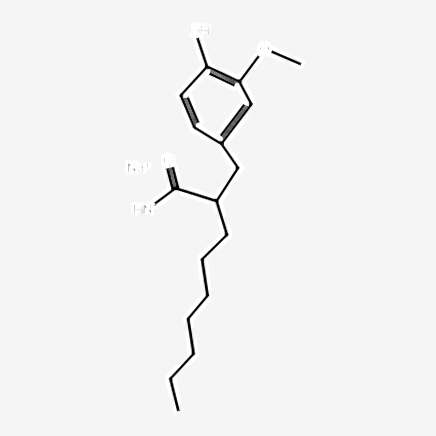 CCCCCCCC(Cc1ccc(O)c(OC)c1)C([NH-])=O.[Na+]